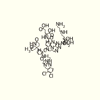 CCC1(c2ccc(N)cc2)CCC(=O)NC1=O.CN(Cc1cnc2nc(N)nc(N)c2n1)c1ccc(C(=O)N[C@@H](CCC(=O)O)C(=O)O)cc1.NCCCNCCSP(=O)(O)O.O=C1CN2Cc3c(ccc(Cl)c3Cl)N=C2N1